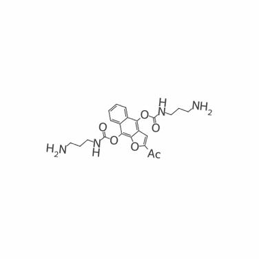 CC(=O)c1cc2c(OC(=O)NCCCN)c3ccccc3c(OC(=O)NCCCN)c2o1